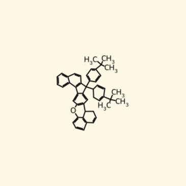 CC(C)(C)C1=CCC(C2(c3ccc(C(C)(C)C)cc3)c3cc4c(cc3-c3c2ccc2ccccc32)Oc2cccc3c2C4CC=C3)C=C1